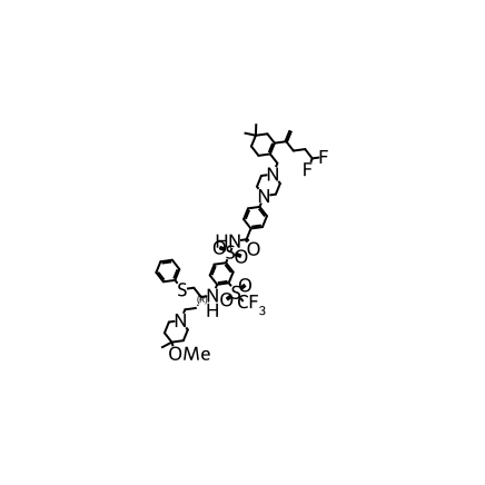 C=C(CCC(F)F)C1=C(CN2CCN(c3ccc(C(=O)NS(=O)(=O)c4ccc(N[C@H](CCN5CCC(C)(OC)CC5)CSc5ccccc5)c(S(=O)(=O)C(F)(F)F)c4)cc3)CC2)CCC(C)(C)C1